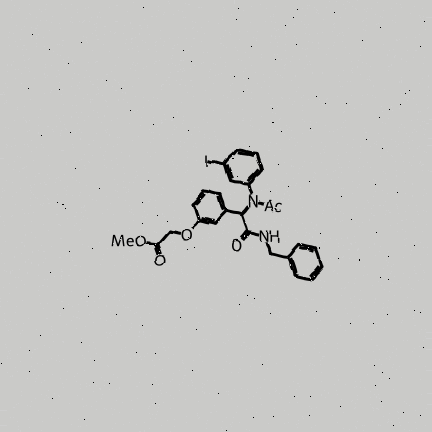 COC(=O)COc1cccc(C(C(=O)NCc2ccccc2)N(C(C)=O)c2cccc(I)c2)c1